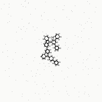 C1=CC2c3cc(-c4ccc5c6c(n(C7C=C(c8ccccc8)C=C(C8=CCCC=C8)N7)c5c4)C=CCC6)ccc3N(C3CC=C(c4ccccc4)CC3)C2C=C1